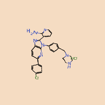 Cl.Nc1ncccc1-c1nc2ccc(-c3ccc(Cl)cc3)nc2n1-c1ccc(CN2CCNCC2)cc1